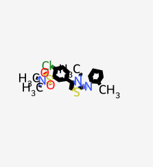 CCn1c(-c2ccc(Cl)c(S(=O)(=O)N(C)C)c2)cs/c1=N/c1ccccc1C